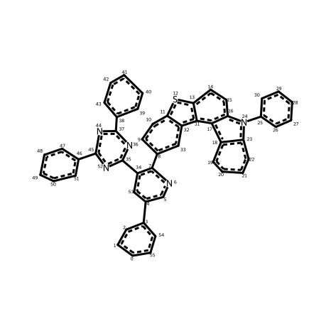 c1ccc(-c2cnc(-c3ccc4sc5ccc6c(c7ccccc7n6-c6ccccc6)c5c4c3)c(-c3nc(-c4ccccc4)nc(-c4ccccc4)n3)c2)cc1